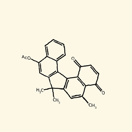 CC(=O)Oc1cc2c(c3ccccc13)-c1c(cc(C)c3c1C(=O)C=CC3=O)C2(C)C